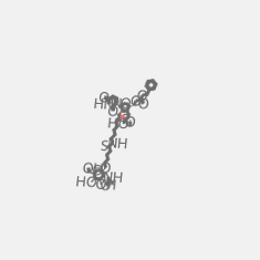 COP(O)(=S)CC1[C@@H](COC(=O)OCc2ccccc2)O[C@@H](n2ccc(=O)[nH]c2=O)[C@H]1C/C=C/CCCCNC(=S)CCCCO[C@@H]1O[C@H](CO)[C@H](O)[C@H](O)[C@H]1NC(C)=O